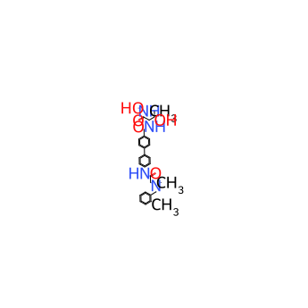 Cc1ccccc1CN(C)CC(=O)Nc1ccc(-c2ccc(C(=O)N[C@H](C(=O)NO)[C@@H](C)O)cc2)cc1